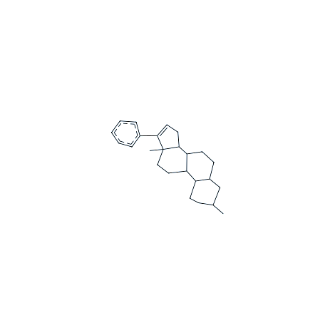 CC1CCC2C(CCC3C2CCC2(C)C(c4ccccc4)=CCC32)C1